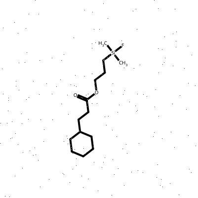 C[Si](C)(F)CCCOC(=O)CCC1CCCCC1